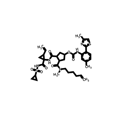 C=CCCCCN(C)C(=O)C1CC(OC(=O)Nc2cc(C)ccc2-c2nc(C)cs2)CC1C(=O)NC1(C(=O)NS(=O)(=O)C2CC2)CC1C=C